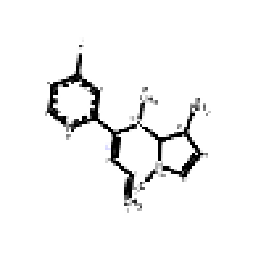 C=C/C=C(/c1cc(F)ccn1)N(C)C1C(N)C=CN1C